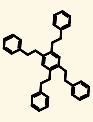 c1ccc(CCc2cc(CCc3ccccc3)c(CCc3ccccc3)cc2CCc2ccccc2)cc1